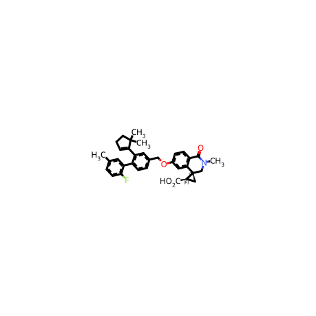 Cc1ccc(F)c(-c2ccc(COc3ccc4c(c3)[C@]3(C[C@H]3C(=O)O)CN(C)C4=O)cc2C2=CCCC2(C)C)c1